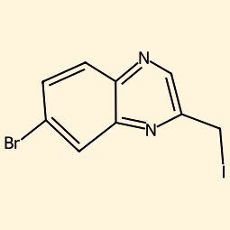 Brc1ccc2ncc(CI)nc2c1